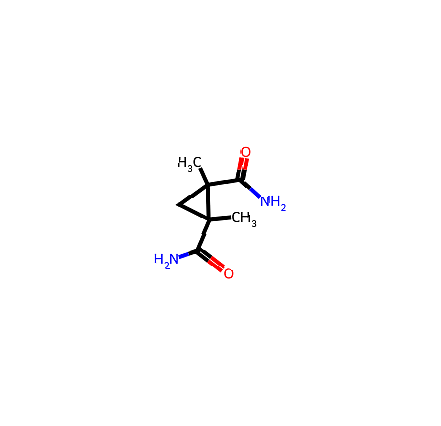 CC1(C(N)=O)CC1(C)C(N)=O